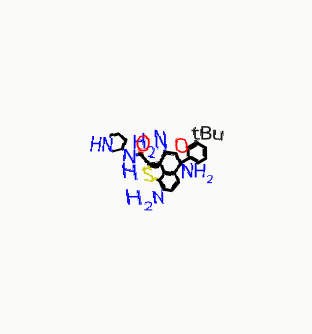 CC(C)(C)c1cccc(C2(N)C(=O)C(N)c3c(C(=O)NC4CCCNC4)sc4c(N)ccc2c34)c1